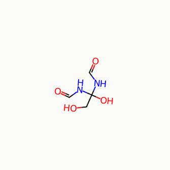 O=CNC(O)(CO)NC=O